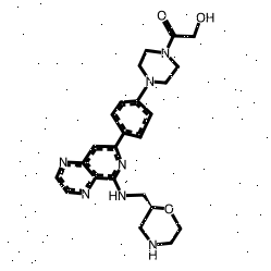 O=C(CO)N1CCN(c2ccc(-c3cc4nccnc4c(NC[C@@H]4CNCCO4)n3)cc2)CC1